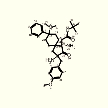 COc1ccc(C[C@@]2(N)CC3(CCC(c4ccccc4)(N(C)C)CC3)[C@@](N)(CC(=O)OC(C)(C)C)C2=O)cc1